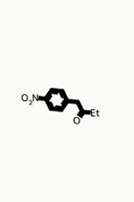 CCC(=O)Cc1ccc([N+](=O)[O-])cc1